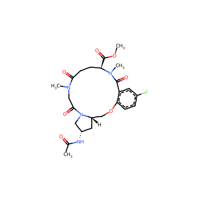 COC(=O)[C@@H]1CCC(=O)N(C)CC(=O)N2C[C@@H](NC(C)=O)C[C@H]2COc2ccc(F)cc2C(=O)N1C